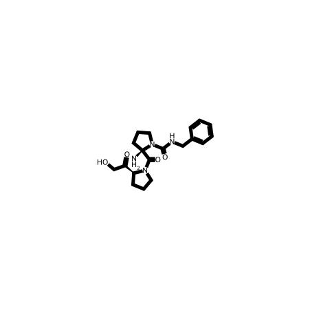 N[C@@]1(C(=O)N2CCC[C@H]2C(=O)CO)CCCN1C(=O)NCc1ccccc1